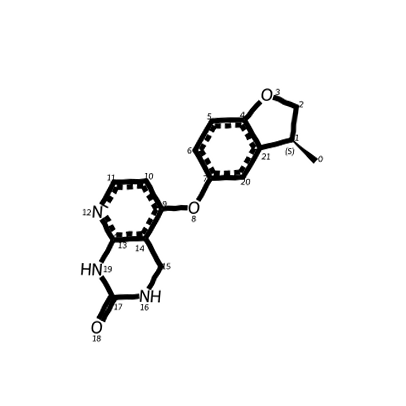 C[C@@H]1COc2ccc(Oc3ccnc4c3CNC(=O)N4)cc21